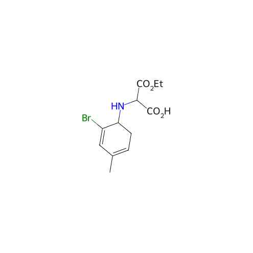 CCOC(=O)C(NC1CC=C(C)C=C1Br)C(=O)O